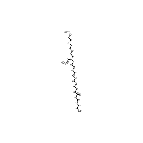 CCCOCCOCCOCCN(CCOCCOCCOCCCC(=O)CCOCCO)CC(=O)O